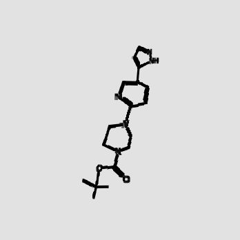 CC(C)(C)OC(=O)N1CCN(c2ccc(-c3ccn[nH]3)cn2)CC1